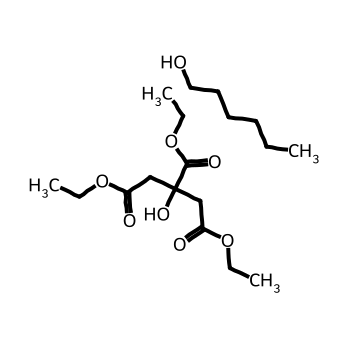 CCCCCCO.CCOC(=O)CC(O)(CC(=O)OCC)C(=O)OCC